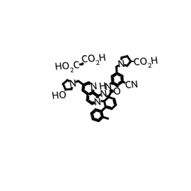 Cc1ccccc1C1=CC=CC(Nc2nccc3cc(CN4CC[C@@H](O)C4)cnc23)(c2nc3cc(CN4CC[C@@H](C(=O)O)C4)cc(C#N)c3o2)C1C.O=C(O)CC(=O)O